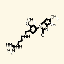 COc1cc(-n2cc3cc(C)[nH]c3nc2=O)ccc1CNCCCNC(=N)N